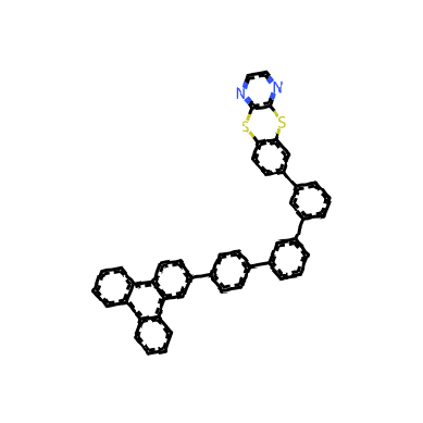 c1cc(-c2ccc(-c3ccc4c5ccccc5c5ccccc5c4c3)cc2)cc(-c2cccc(-c3ccc4c(c3)Sc3nccnc3S4)c2)c1